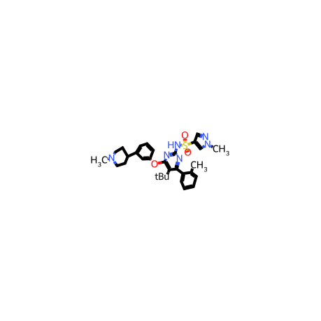 Cc1ccccc1-c1nc(NS(=O)(=O)c2cnn(C)c2)nc(Oc2cccc(C3CCN(C)CC3)c2)c1C(C)(C)C